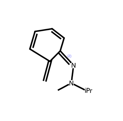 C=C1C=CC=C/C1=N/N(C)C(C)C